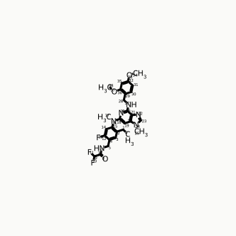 CCc1cc(CNC(=O)C(F)F)c(F)cc1N(C)c1cc2c(ncn2C)c(NCc2ccc(OC)cc2OC)n1